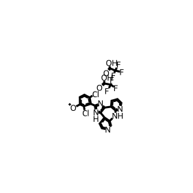 COc1ccc(Cl)c(-c2nc3c([nH]2)-c2ccncc2Nc2ncccc2-3)c1Cl.O=C(O)C(F)(F)F.O=C(O)C(F)(F)F